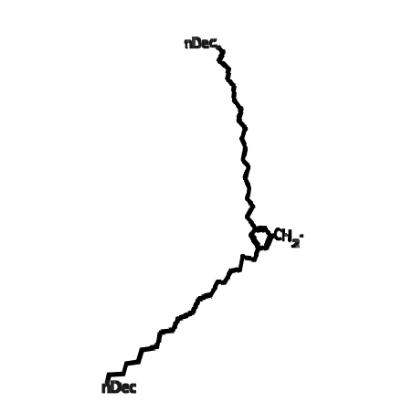 [CH2]c1cc(CCCCCCCCCCCCCCCCCCCCCCCCCCCC)cc(CCCCCCCCCCCCCCCCCCCCCCCCCCCC)c1